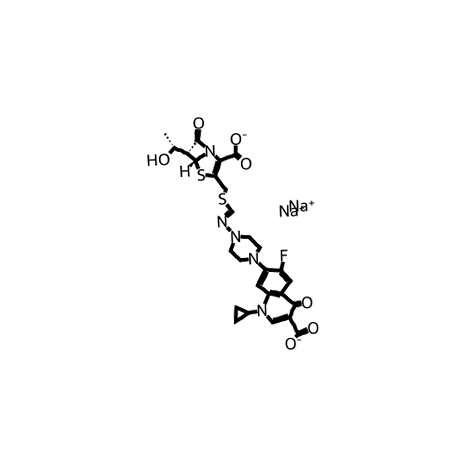 C[C@@H](O)[C@@H]1C(=O)N2C(C(=O)[O-])=C(CSC=NN3CCN(c4cc5c(cc4F)c(=O)c(C(=O)[O-])cn5C4CC4)CC3)S[C@H]12.[Na+].[Na+]